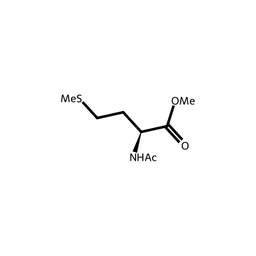 COC(=O)[C@H](CCSC)NC(C)=O